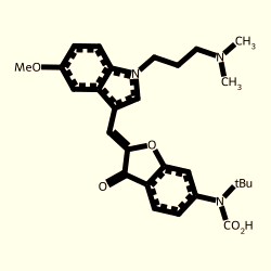 COc1ccc2c(c1)c(/C=C1\Oc3cc(N(C(=O)O)C(C)(C)C)ccc3C1=O)cn2CCCN(C)C